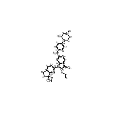 C=CCn1c(=O)c2cnc(Nc3ccc(N4CCN(C)CC4C)cc3)nc2n1-c1ccc2c(n1)C(C)(O)CC2